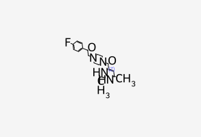 CCN/C(=C\C(C)=N)C(=O)N1CCN(CC(=O)c2ccc(F)cc2)CC1